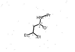 CCC(CC)C[S+]([O-])NC(C)C